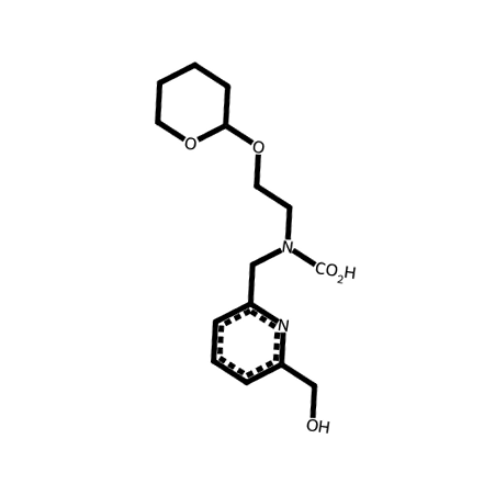 O=C(O)N(CCOC1CCCCO1)Cc1cccc(CO)n1